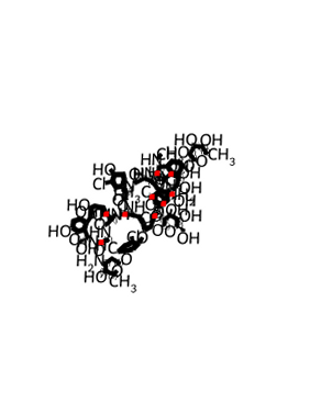 CN[C@H](C(=O)N[C@H]1C(=O)N[C@@H](c2ccc(O)c(Cl)c2)C(=O)N[C@H]2C(=O)N[C@H]3C(=O)N[C@@H](Cc4cc(Cl)c(cc4O[C@H]4C[C@@H](N)[C@@H](O)[C@H](C)O4)Oc4cc2cc(c4O[C@@H]2O[C@H](CO)[C@@H](O)[C@H](O)[C@H]2O[C@H]2C[C@@H](N)[C@@H](O)[C@H](C)O2)Oc2ccc(cc2)[C@H]1O[C@@H]1O[C@@H](CO)[C@H](O)[C@@H](O)[C@H]1O)C(=O)N[C@@H](C(=O)O)c1cc(O)cc(O)c1-c1cc3ccc1O)c1ccc(O[C@@H]2O[C@@H](C)[C@H](O)[C@@H](O)[C@H]2O)cc1